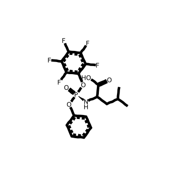 CC(C)CC(N[P@](=O)(Oc1ccccc1)Oc1c(F)c(F)c(F)c(F)c1F)C(=O)O